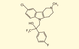 CN1CCc2c(c3cc(Cl)ccc3n2CC(O)(c2ccc(F)cc2)C(F)(F)F)C1